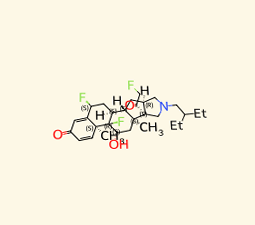 CCC(CC)CN1C[C@@H]2C[C@H]3[C@@H]4C[C@H](F)C5=CC(=O)C=C[C@]5(C)[C@@]4(F)[C@@H](O)C[C@]3(C)[C@]2(C(=O)CF)C1